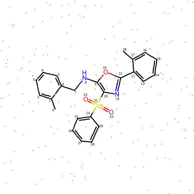 Cc1ccccc1CNc1oc(-c2ccccc2C)nc1S(=O)(=O)c1ccccc1